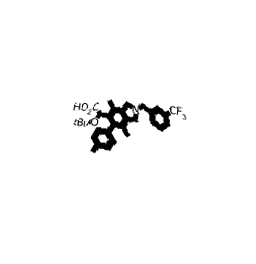 Cc1ccc(-c2c(C)c3c(c(C)c2C(OC(C)(C)C)C(=O)O)CN(Cc2cccc(C(F)(F)F)c2)C3)cc1